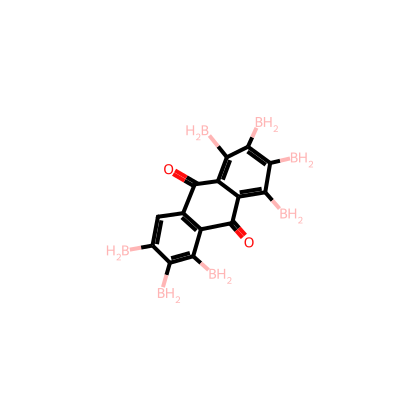 Bc1cc2c(c(B)c1B)C(=O)c1c(B)c(B)c(B)c(B)c1C2=O